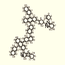 c1ccc(-n2c(-c3ccc(-c4ccc5c(-c6ccc7ccccc7c6)c6ccccc6c(-c6ccc7cc(-c8cccc9cc(-c%10c%11ccccc%11c(-c%11ccc%12ccccc%12c%11)c%11cc(-c%12nccc%13c%12sc%12ccccc%12%13)ccc%10%11)ccc89)ccc7c6)c5c4)cc3)nc3ccccc32)cc1